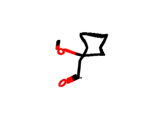 COC1([C]=O)CCC1